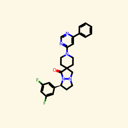 O=C1N2[C@H](c3cc(F)cc(F)c3)CCN2CC12CCN(c1cc(-c3ccccc3)ncn1)CC2